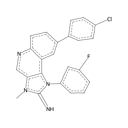 Cn1c(=N)n(-c2cccc(F)c2)c2c3cc(-c4ccc(Cl)cc4)ccc3ncc21